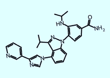 CC(C)Nc1cc(C(N)=O)ccc1-n1nc(C(C)C)c2c(-n3cnc(-c4cccnc4)c3)cccc21